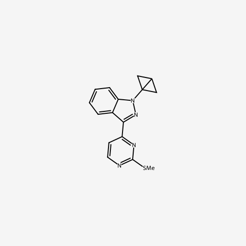 CSc1nccc(-c2nn(C34CC3C4)c3ccccc23)n1